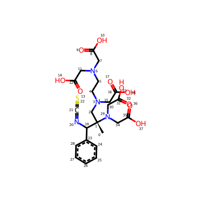 C[C@](CN(CCN(CC(=O)O)CC(=O)O)CC(=O)O)(C(N=C=S)c1ccccc1)N(CC(=O)O)CC(=O)O